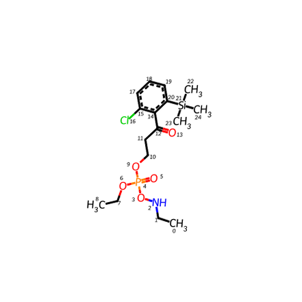 CCNOP(=O)(OCC)OCCC(=O)c1c(Cl)cccc1[Si](C)(C)C